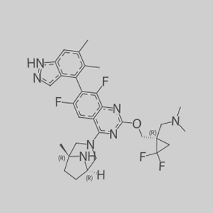 Cc1cc2[nH]ncc2c(-c2c(F)cc3c(N4C[C@H]5CC[C@](C)(C4)N5)nc(OC[C@]4(CN(C)C)CC4(F)F)nc3c2F)c1C